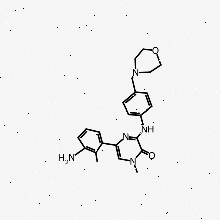 Cc1c(N)cccc1-c1cn(C)c(=O)c(Nc2ccc(CN3CCOCC3)cc2)n1